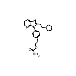 NC(=O)OCCc1ccc(-n2c(CCC3CCCC3)nc3cccnc32)cc1